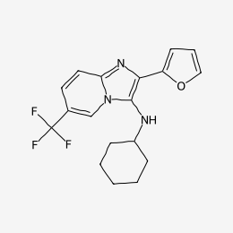 FC(F)(F)c1ccc2nc(-c3ccco3)c(NC3CCCCC3)n2c1